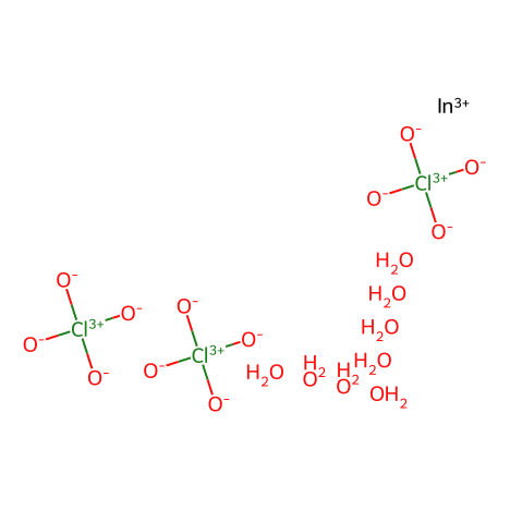 O.O.O.O.O.O.O.O.[In+3].[O-][Cl+3]([O-])([O-])[O-].[O-][Cl+3]([O-])([O-])[O-].[O-][Cl+3]([O-])([O-])[O-]